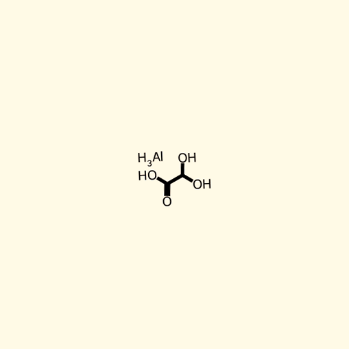 O=C(O)C(O)O.[AlH3]